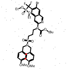 CCOP(=O)(OCC)C(F)(F)c1cc2cc(N(CCCS(=O)(=O)N(Cc3ccc(OC)cc3)Cc3ccc(OC)cc3)C(=O)OC(C)(C)C)ncc2cc1Br